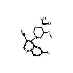 COC1CN(c2c(C#N)cnc3ccc(Cl)cc23)CC[C@@H]1C(=O)O